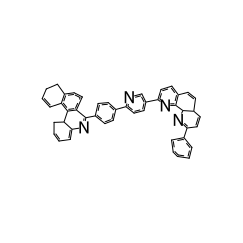 C1=CCC2C(=C1)N=C(c1ccc(-c3ccc(-c4ccc5c(n4)C4N=C(c6ccccc6)C=CC4C=C5)cn3)cc1)c1ccc3c(c12)C=CCC3